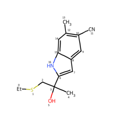 CCSCC(C)(O)c1cc2cc(C#N)c(C)cc2[nH]1